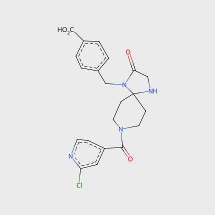 O=C(O)c1ccc(CN2C(=O)CNC23CCN(C(=O)c2ccnc(Cl)c2)CC3)cc1